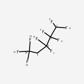 FC(F)C(F)(F)C(F)(F)[CH]C(F)(F)F